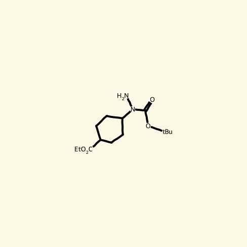 CCOC(=O)C1CCC(N(N)C(=O)OC(C)(C)C)CC1